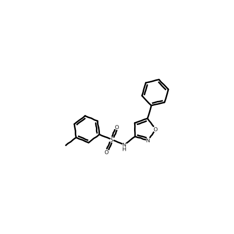 Cc1cccc(S(=O)(=O)Nc2cc(-c3ccccc3)on2)c1